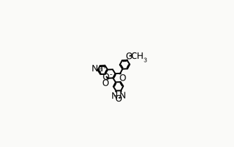 COc1ccc(C(=O)C(Cc2ccccc2)=C(C(=O)[O-])c2ccc3nonc3c2)cc1.[Na+]